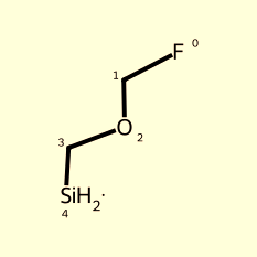 FCOC[SiH2]